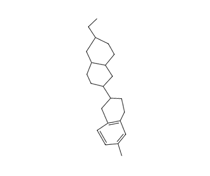 CCC1CCC2CC(C3CCc4cc(C)ccc4C3)CCC2C1